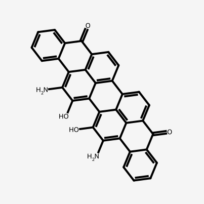 Nc1c2c3c(ccc4c5ccc6c7c(c(N)c(O)c(c(c1O)c34)c75)-c1ccccc1C6=O)C(=O)c1ccccc1-2